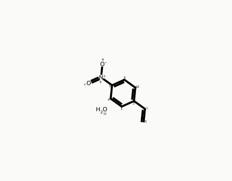 C=Cc1ccc([N+](=O)[O-])cc1.O